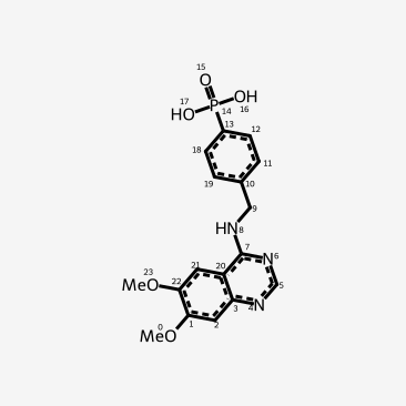 COc1cc2ncnc(NCc3ccc(P(=O)(O)O)cc3)c2cc1OC